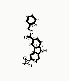 CS(=O)(=O)c1cc2c(cn1)[nH]c1ccc(C(=O)OCc3ccccc3)cc12